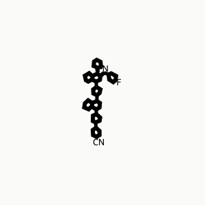 N#Cc1ccc(-c2ccc(-c3ccc(-c4ccc(-c5cc6c(-c7ccc(F)cc7)nc7ccccc7c6c6ccccc56)cc4)c4ccccc34)cc2)cc1